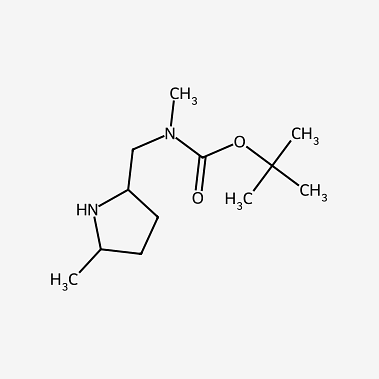 CC1CCC(CN(C)C(=O)OC(C)(C)C)N1